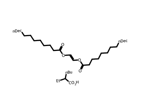 CCCCC(CC)C(=O)O.CCCCCCCCCCCCCCCCCC(=O)OC=COC(=O)CCCCCCCCCCCCCCCCC